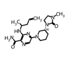 C=CCC(C)Nc1nc(N2CCC[C@@H](N3CCN(C)C3=O)C2)cnc1C(N)=O